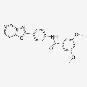 COc1cc(OC)cc(C(=O)Nc2ccc(-c3nc4cnccc4o3)cc2)c1